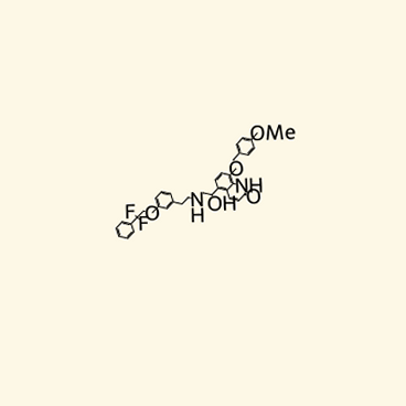 COc1ccc(COc2ccc([C@H](O)CNCCc3cccc(OCC(F)(F)c4ccccc4)c3)c3ccc(=O)[nH]c23)cc1